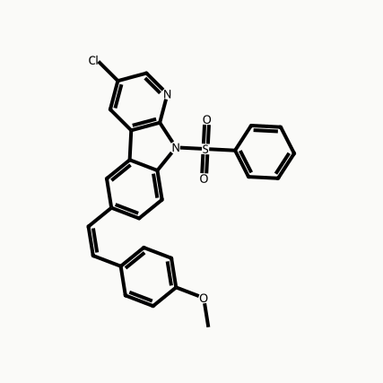 COc1ccc(/C=C\c2ccc3c(c2)c2cc(Cl)cnc2n3S(=O)(=O)c2ccccc2)cc1